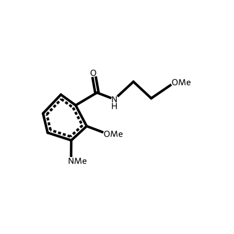 CNc1cccc(C(=O)NCCOC)c1OC